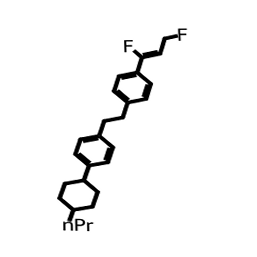 CCCC1CCC(c2ccc(CCc3ccc(/C(F)=C/CF)cc3)cc2)CC1